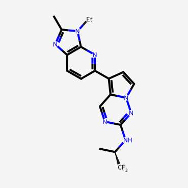 CCn1c(C)nc2ccc(-c3ccn4nc(N[C@H](C)C(F)(F)F)ncc34)nc21